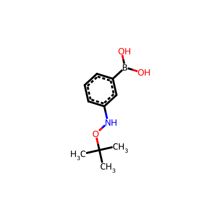 CC(C)(C)ONc1cccc(B(O)O)c1